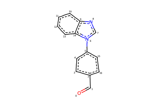 O=Cc1ccc(-n2cnc3ccccc32)cc1